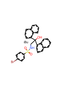 CC[C@H](C)[C@H](NS(=O)(=O)c1ccc(Br)cc1)C(O)(c1cccc2ccccc12)c1cccc2ccccc12